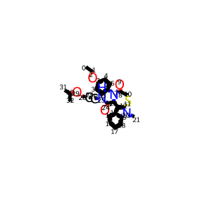 CCOc1ccc(N2C(=O)CSc3c(c4ccccc4n3C)C2C(=O)NCCCOC(C)C)cc1